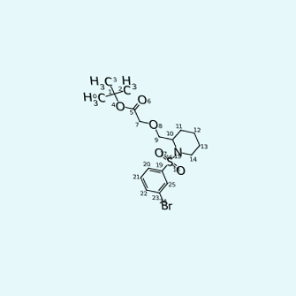 CC(C)(C)OC(=O)COCC1CCCCN1S(=O)(=O)c1cccc(Br)c1